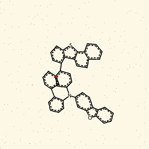 c1ccc(-c2ccccc2N(c2ccc(-c3cccc4sc5c6ccccc6ccc5c34)cc2)c2ccc3c(c2)oc2ccccc23)cc1